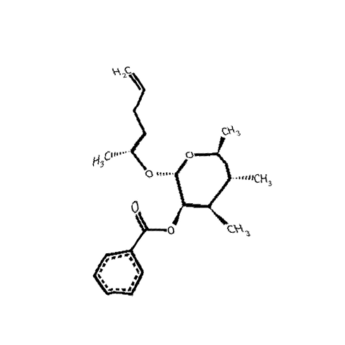 C=CCC[C@@H](C)O[C@@H]1O[C@@H](C)[C@H](C)[C@@H](C)[C@H]1OC(=O)c1ccccc1